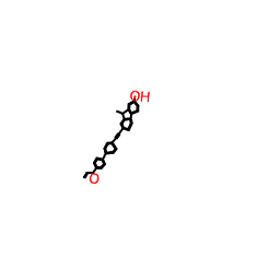 C=CC(=O)c1ccc(-c2ccc(C#Cc3ccc4c(c3)C(C)c3cc(O)ccc3-4)cc2)cc1